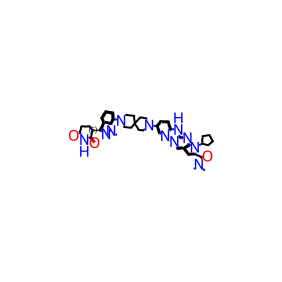 CN(C)C(=O)c1cc2cnc(Nc3ccc(N4CCC5(CC4)CCN(c4cccc6c([C@@H]7CCC(=O)NC7=O)nn(C)c46)CC5)cn3)nc2n1C1CCCC1